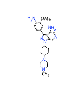 COc1cc(-c2nn(C3CCC(N4CCN(C)CC4)CC3)c3cncc(N)c23)ccc1N